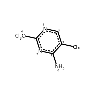 Nc1nc(C(Cl)(Cl)Cl)ncc1Cl